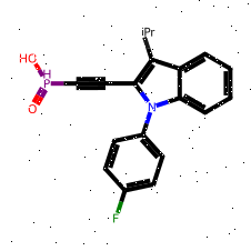 CC(C)c1c(C#C[PH](=O)O)n(-c2ccc(F)cc2)c2ccccc12